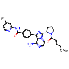 COCC=CC(=O)N1CCC[C@H]1c1nc(-c2ccc(C(=O)Nc3cc(C(C)C)ccn3)cc2)c2c(N)nccn12